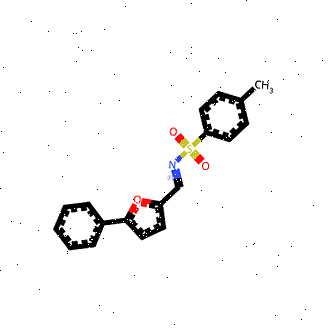 Cc1ccc(S(=O)(=O)/N=C/c2ccc(-c3ccccc3)o2)cc1